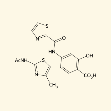 CC(=O)Nc1nc(C)cs1.O=C(Nc1ccc(C(=O)O)c(O)c1)c1nccs1